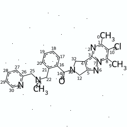 Cc1nc2c3c(nn2c(C)c1Cl)CN(C(=O)c1ccccc1CN(C)Cc1ccccn1)C3